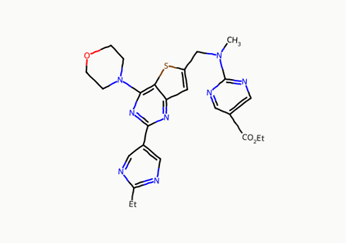 CCOC(=O)c1cnc(N(C)Cc2cc3nc(-c4cnc(CC)nc4)nc(N4CCOCC4)c3s2)nc1